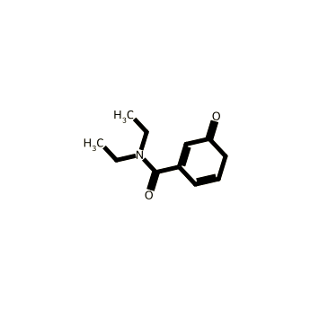 CCN(CC)C(=O)C1=CC(=O)CC=C1